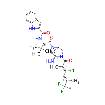 C/C(C(=O)N1CC2C[C@@]1(N)CN2C(=O)[C@@H](NC(=O)c1cc2ccccc2[nH]1)C(C)(C)C)=C(Cl)\C=C(/C)C(F)(F)F